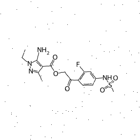 CCn1nc(C)c(C(=O)OCC(=O)c2ccc(NS(C)(=O)=O)cc2F)c1N